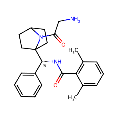 Cc1cccc(C)c1C(=O)N[C@H](c1ccccc1)C12CCC(CC1)N2C(=O)CN